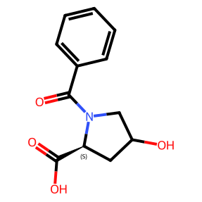 O=C(O)[C@@H]1CC(O)CN1C(=O)c1ccccc1